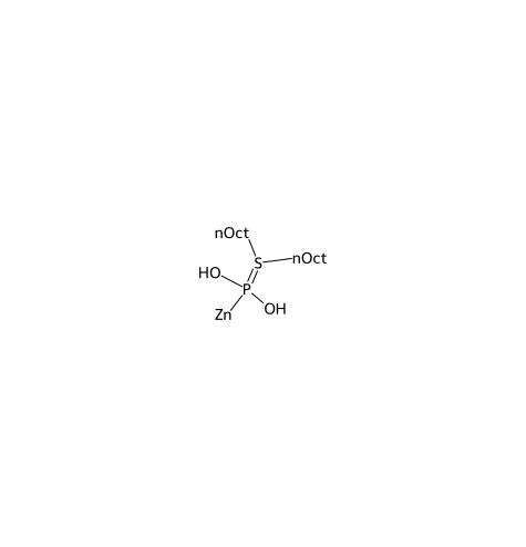 CCCCCCCCS(CCCCCCCC)=[P](O)(O)[Zn]